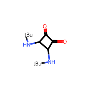 CC(C)(C)NC1C(=O)C(=O)C1NC(C)(C)C